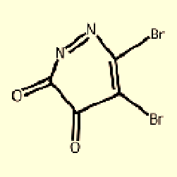 O=C1N=NC(Br)=C(Br)C1=O